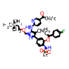 CCS(=O)(=O)Nc1ccc(-c2nn(COCC[Si](C)(C)C)c(Nc3ccc(C(=O)OC)cn3)c2C#N)cc1OC(C)c1ccc(F)cc1